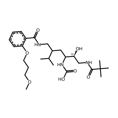 COCCCOc1ccccc1C(=O)NCC(CC(NC(=O)O)[C@@H](O)CNC(=O)C(C)(C)C)C(C)C